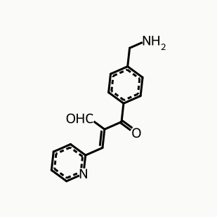 NCc1ccc(C(=O)/C(C=O)=C/c2ccccn2)cc1